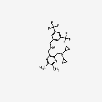 Cc1cc(CNCc2cc(C(F)(F)F)cc(C(F)(F)F)c2)c(CN(C2CC2)C2CC2)nc1C